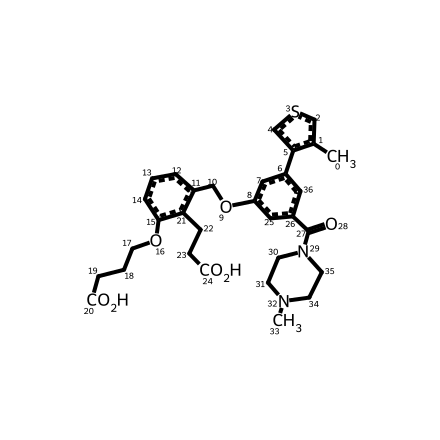 Cc1cscc1-c1cc(OCc2cccc(OCCCC(=O)O)c2CCC(=O)O)cc(C(=O)N2CCN(C)CC2)c1